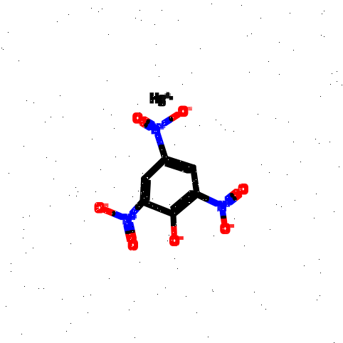 O=[N+]([O-])c1cc([N+](=O)[O-])c([O-])c([N+](=O)[O-])c1.[Hg+]